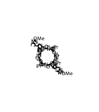 COc1nc(C)c(Cc2ccc(C[C@H]3OC(=O)[C@H](CC(C)C)N(C)C(=O)[C@@H](C)OC(=O)[C@H](CC(C)C)N(C)C(=O)[C@@H](Cc4ccc(Cc5sc(OC)nc5C)cc4)OC(=O)[C@H](CC(C)C)N(C)C(=O)[C@@H](C)OC(=O)[C@H](CC(C)C)N(C)C3=O)cc2)s1